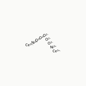 [Ce+3].[Ce+3].[Ni+2].[Ni+2].[O-2].[O-2].[O-2].[O-2].[O-2]